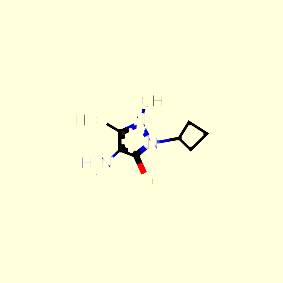 Cc1c(N)c(=O)n(C2CCC2)n1C